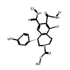 CCNC(=O)c1cc2c(c(Cl)c1C(=O)NCC)CCN(C(=O)OC(C)(C)C)C[C@@H]2c1ccc(O)cc1